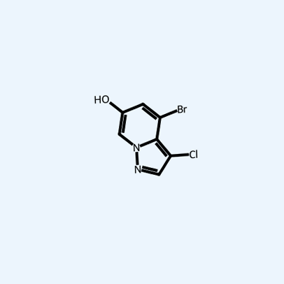 Oc1cc(Br)c2c(Cl)cnn2c1